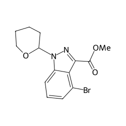 COC(=O)c1nn(C2CCCCO2)c2cccc(Br)c12